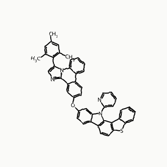 Cc1cc(C)c(-c2cnc3c4cc(Oc5ccc6c7ccc8sc9ccccc9c8c7n(-c7ccccn7)c6c5)ccc4c4ccccc4n23)c(C)c1